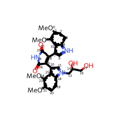 COc1ccc2[nH]cc(C3=C(c4cn(CC(O)CO)c5ccc(OC)c(OC)c45)C(=O)NC3=O)c2c1OC